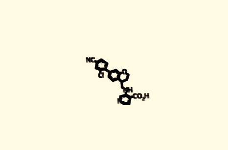 N#Cc1ccc(-c2ccc3c(c2)OCCC3CNc2cnccc2C(=O)O)c(Cl)c1